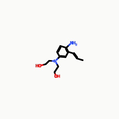 CC=Cc1cc(N(CCO)CCO)ccc1N